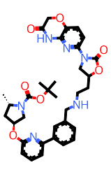 C[C@H]1C[C@H](Oc2cccc(-c3cccc(CNCCC4CN(c5ccc6c(n5)NC(=O)CO6)C(=O)O4)c3)n2)CN1C(=O)OC(C)(C)C